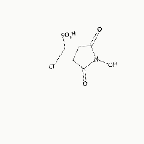 O=C1CCC(=O)N1O.O=S(=O)(O)CCl